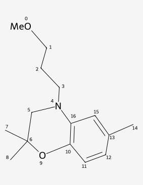 COCCCN1CC(C)(C)Oc2ccc(C)cc21